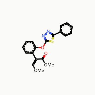 CO/C=C(\C(=O)OC)c1ccccc1Oc1nnc(-c2ccccc2)s1